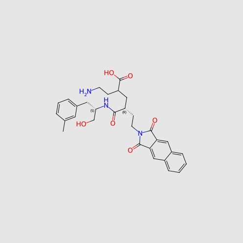 Cc1cccc(C[C@@H](CO)NC(=O)[C@@H](CCN2C(=O)c3cc4ccccc4cc3C2=O)CC(CCN)C(=O)O)c1